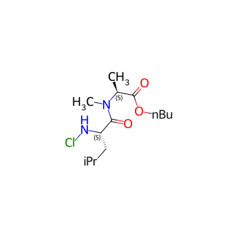 CCCCOC(=O)[C@H](C)N(C)C(=O)[C@H](CC(C)C)NCl